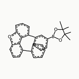 CC1(C)OB(c2cccc(-c3cccc4oc5cccc(-c6ccccc6)c5c34)c2)OC1(C)C